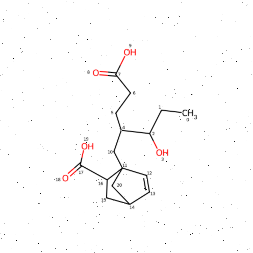 CCC(O)C(CCC(=O)O)CC12C=CC(CC1C(=O)O)C2